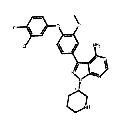 COc1cc(-c2nn([C@@H]3CCCNC3)c3ncnc(N)c23)ccc1Oc1ccc(Cl)c(Cl)c1